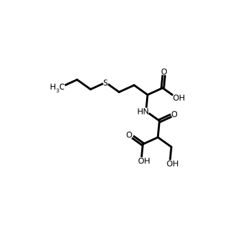 CCCSCCC(NC(=O)C(CO)C(=O)O)C(=O)O